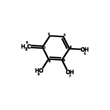 C=C1CC=C(O)C(O)=C1O